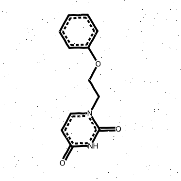 O=c1ccn(CCOc2ccccc2)c(=O)[nH]1